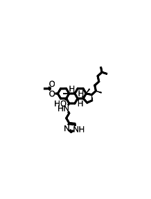 CC(=O)OC1CC[C@]2(C)[C@H]3CC[C@]4(C)[C@@H]([C@H](C)CCCC(C)C)CC[C@H]4[C@@H]3CC(NCCc3c[nH]cn3)C2(O)C1